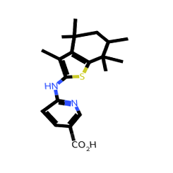 Cc1c(Nc2ccc(C(=O)O)cn2)sc2c1C(C)(C)CC(C)C2(C)C